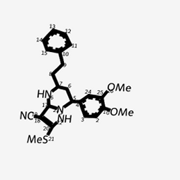 COc1ccc(C2CC(CCc3ccccc3)NC3C(C#N)=C(SC)NN32)cc1OC